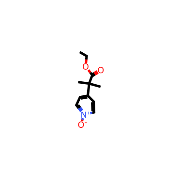 CCOC(=O)C(C)(C)c1cc[n+]([O-])cc1